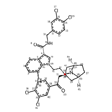 CCc1cccc2c(C(=O)NCc3ccc(Cl)c(Cl)c3)cn(CCCN3[C@@H]4CC[C@H]3C[C@@H](CC(=O)c3ccc(Cl)c(Cl)c3)C4)c12